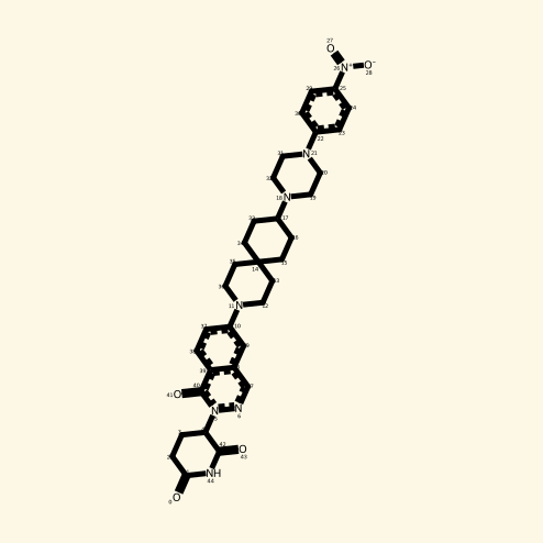 O=C1CCC(n2ncc3cc(N4CCC5(CCC(N6CCN(c7ccc([N+](=O)[O-])cc7)CC6)CC5)CC4)ccc3c2=O)C(=O)N1